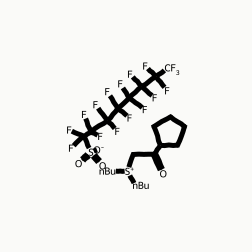 CCCC[S+](CCCC)CC(=O)C1CCCC1.O=S(=O)([O-])C(F)(F)C(F)(F)C(F)(F)C(F)(F)C(F)(F)C(F)(F)C(F)(F)C(F)(F)F